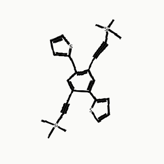 C[Si](C)(C)C#Cc1cc(-c2cccs2)c(C#C[Si](C)(C)C)cc1-c1cccs1